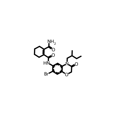 CCC(C)CN1C(=O)COc2cc(Br)c(NC(=O)C3=C(C(N)=O)CCCC3)cc21